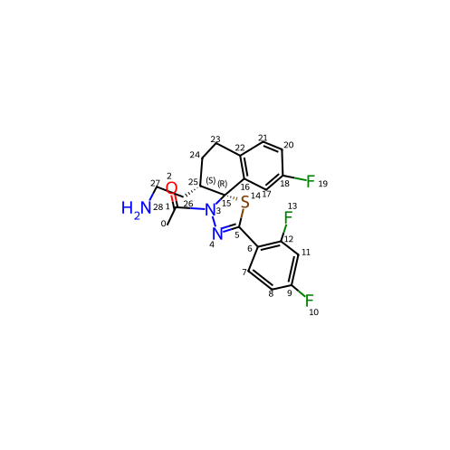 CC(=O)N1N=C(c2ccc(F)cc2F)S[C@]12c1cc(F)ccc1CC[C@H]2CCN